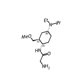 CCN(C(C)C)[C@@H]1CC[C@H](NC(=O)CN)[C@@H](COC)C1